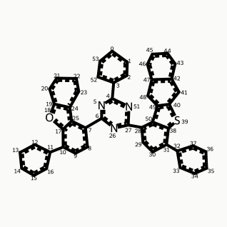 c1ccc(-c2nc(-c3ccc(-c4ccccc4)c4oc5ccccc5c34)nc(-c3ccc(-c4ccccc4)c4sc5cc6ccccc6cc5c34)n2)cc1